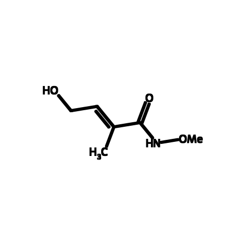 CONC(=O)/C(C)=C/CO